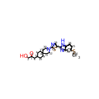 O=C(CO)CC1CCC2(CC1)CCN(c1ncc(-c3nc4cc(SC(F)(F)F)ccc4[nH]3)s1)CC2